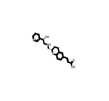 O=C(O)/C=C/c1ccc2c(c1)CC[C@@H](CNC[C@@H](O)c1cccnc1)O2